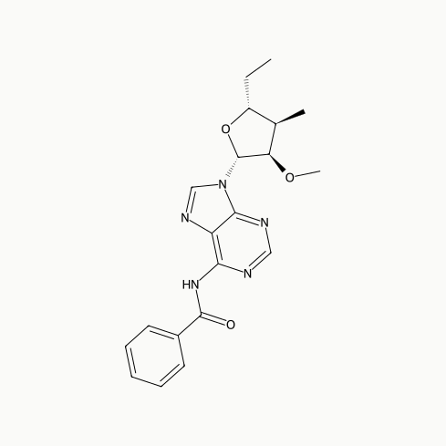 CC[C@H]1O[C@@H](n2cnc3c(NC(=O)c4ccccc4)ncnc32)[C@H](OC)[C@@H]1C